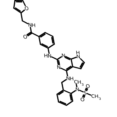 CN(c1ccccc1CNc1nc(Nc2cccc(C(=O)NCc3ccco3)c2)nc2[nH]ccc12)S(C)(=O)=O